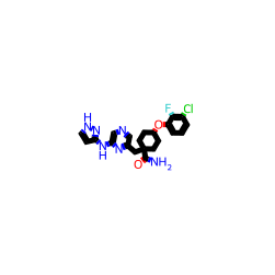 NC(=O)C1(Cc2cncc(Nc3cc[nH]n3)n2)CCC(Oc2cccc(Cl)c2F)CC1